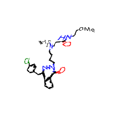 COCCNC(=O)CCN(C)CCCCn1nc(Cc2ccc(Cl)cc2)c2ccccc2c1=O